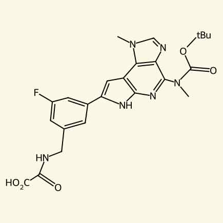 CN(C(=O)OC(C)(C)C)c1nc2[nH]c(-c3cc(F)cc(CNC(=O)C(=O)O)c3)cc2c2c1ncn2C